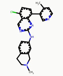 Cc1ccncc1-c1ccc(Cl)c2cnc(Nc3ccc4c(c3)CN(C)CC4)nc12